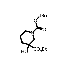 CCOC(=O)C1(O)CCCN(C(=O)OC(C)(C)C)C1